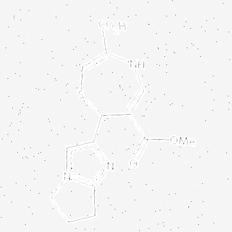 COC(=O)C1=CNC(C(=O)O)=CSC1c1cn2c(n1)CCC2